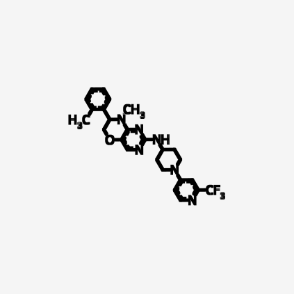 Cc1ccccc1C1COc2cnc(NC3CCN(c4ccnc(C(F)(F)F)c4)CC3)nc2N1C